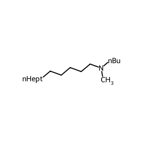 CCCCCCCCCCCCN(C)CCCC